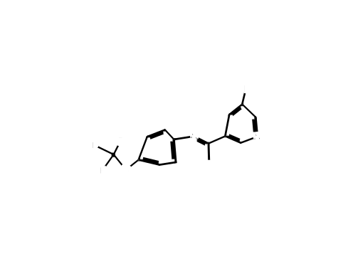 C/C(=N\c1ccc(OC(F)(F)F)cc1)c1cncc(F)c1